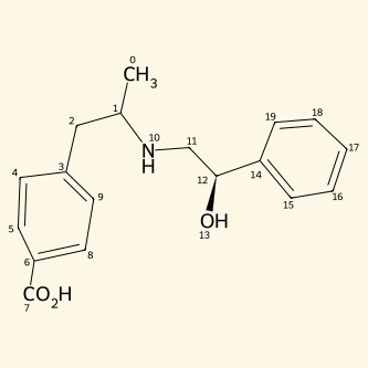 CC(Cc1ccc(C(=O)O)cc1)NC[C@H](O)c1ccccc1